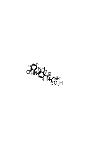 CC(C)CC(NC(=O)c1ccc(Nc2ccccc2Cl)c(N)c1)C(=O)O